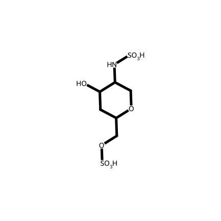 O=S(=O)(O)NC1COC(COS(=O)(=O)O)CC1O